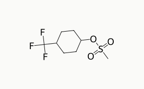 CS(=O)(=O)OC1CCC(C(F)(F)F)CC1